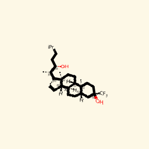 CC(C)CC[C@H](O)[C@@H](C)[C@H]1CC[C@H]2[C@@H]3CC[C@H]4C[C@](O)(C(F)(F)F)CC[C@]4(C)[C@H]3CC[C@]12C